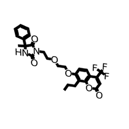 CCCc1c(OCCOCCN2C(=O)NC(C)(c3ccccc3)C2=O)ccc2c(C(F)(F)F)cc(=O)oc12